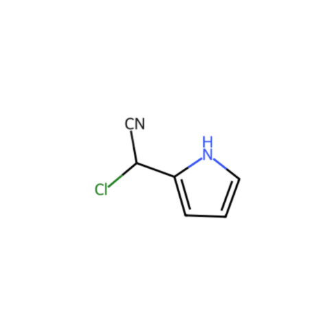 N#CC(Cl)c1ccc[nH]1